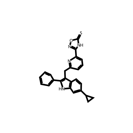 S=c1[nH]c(-c2cccc(Cc3c(-c4ccccc4)[nH]c4cc(C5CC5)ccc34)n2)no1